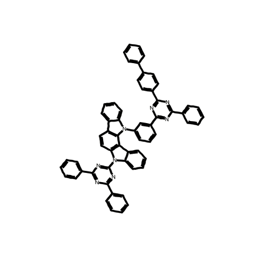 c1ccc(-c2ccc(-c3nc(-c4ccccc4)nc(-c4cccc(-n5c6ccccc6c6ccc7c(c8ccccc8n7-c7nc(-c8ccccc8)nc(-c8ccccc8)n7)c65)c4)n3)cc2)cc1